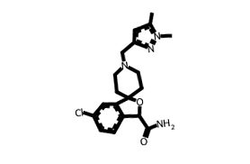 Cc1cc(CN2CCC3(CC2)OC(C(N)=O)c2ccc(Cl)cc23)nn1C